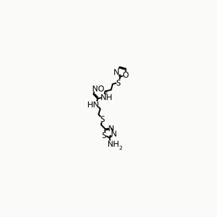 Nc1nnc(CSCCNC(=C[N+](=O)[O-])NCCCSc2ncco2)s1